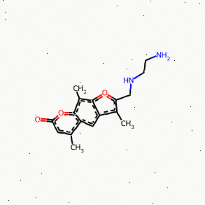 Cc1cc(=O)oc2c(C)c3oc(CNCCN)c(C)c3cc12